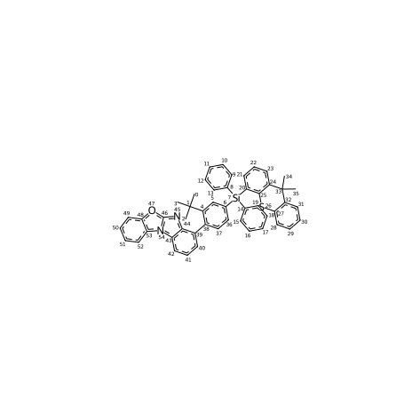 CC(C)(C)c1cc([Si](c2ccccc2)(c2ccccc2)c2cccc3c2Sc2ccccc2C3(C)C)ccc1-c1cccc2c1nc1oc3ccccc3n12